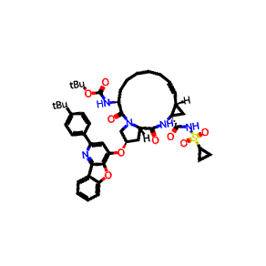 CC(C)(C)OC(=O)N[C@H]1CCCCC/C=C\[C@@H]2C[C@@]2(C(=O)NS(=O)(=O)C2CC2)NC(=O)[C@@H]2C[C@@H](Oc3cc(-c4ccc(C(C)(C)C)cc4)nc4c3oc3ccccc34)CN2C1=O